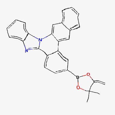 C=C1OB(c2ccc3c(c2)c2cc4ccccc4cc2n2c4ccccc4nc32)OC1(C)C